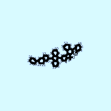 CC1(C)c2ccc(-c3c4ccccc4c(-c4ccc5c(c4)CCC(c4ccccc4)=C5)c4ccccc34)cc2-c2c1c1oc3ccccc3c1c1ccccc21